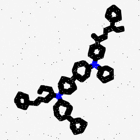 C=C/C(=C\C=C(/C)c1ccc(N(C2=CC=C(c3ccc(N(C4=CC=C(c5ccccc5)CC=C4)C(/C=C\C)=C/C=C/c4ccccc4)cc3)CC=C2)C2=CC=CCC2)cc1)c1ccccc1